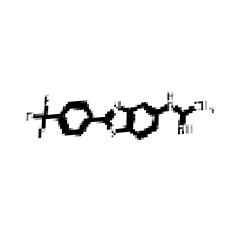 CC(=N)Nc1ccc2sc(-c3ccc(C(F)(F)F)cc3)nc2c1